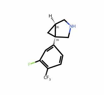 Fc1cc([C@@]23CNC[C@@H]2C3)ccc1C(F)(F)F